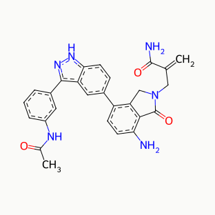 C=C(CN1Cc2c(-c3ccc4[nH]nc(-c5cccc(NC(C)=O)c5)c4c3)ccc(N)c2C1=O)C(N)=O